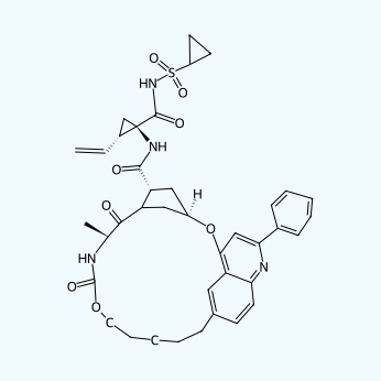 C=C[C@@H]1C[C@]1(NC(=O)[C@@H]1C[C@@H]2CC1C(=O)[C@H](C)NC(=O)OCCCCCc1ccc3nc(-c4ccccc4)cc(c3c1)O2)C(=O)NS(=O)(=O)C1CC1